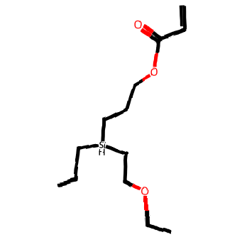 C=CC(=O)OCCC[SiH](CCC)CCOCC